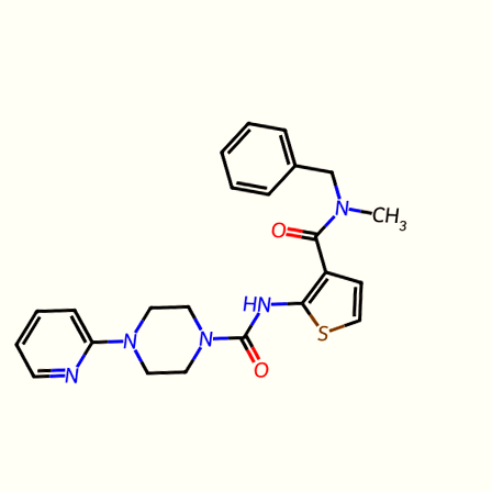 CN(Cc1ccccc1)C(=O)c1ccsc1NC(=O)N1CCN(c2ccccn2)CC1